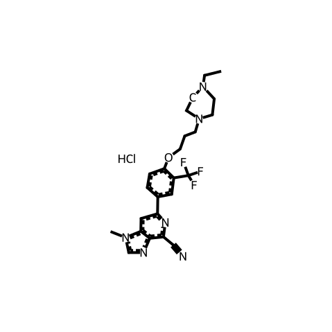 CCN1CCN(CCCOc2ccc(-c3cc4c(ncn4C)c(C#N)n3)cc2C(F)(F)F)CC1.Cl